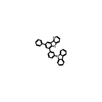 c1ccc(-c2cc(-c3cccc(-n4c5ccccc5c5ccccc54)c3)c3sc4cccnc4c3c2)cc1